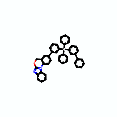 c1ccc(-c2cccc([Si](c3ccccc3)(c3ccccc3)c3cccc(-c4ccc5c(c4)COc4nc6ccccc6n4-5)c3)c2)cc1